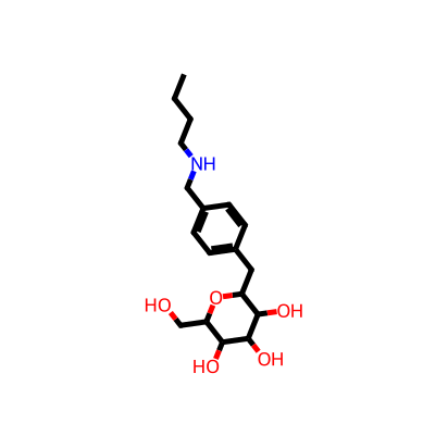 CCCCNCc1ccc(CC2OC(CO)C(O)C(O)C2O)cc1